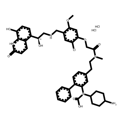 COc1cc(OCC(=O)N(C)CCc2ccc(-c3ccccc3)c(N(C(=O)O)C3CCC(N)CC3)c2)c(Cl)cc1CNC[C@@H](O)c1ccc(O)c2[nH]c(=O)ccc12.Cl.Cl